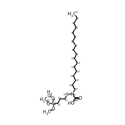 CCCCCCCCCCCCCCCCCCN(SCCC[Si](OC)(OC)OC)C(=O)O